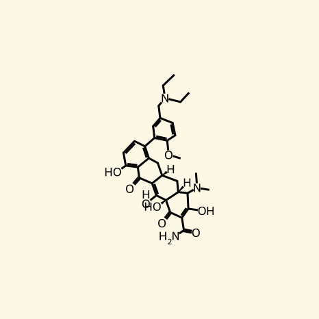 CCN(CC)Cc1ccc(OC)c(-c2ccc(O)c3c2C[C@@H]2C[C@@H]4C(N(C)C)C(O)=C(C(N)=O)C(=O)[C@]4(O)C(O)=C2C3=O)c1